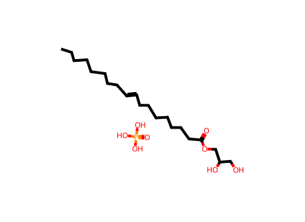 CCCCCCCCC=CCCCCCCCC(=O)OCC(O)CO.O=P(O)(O)O